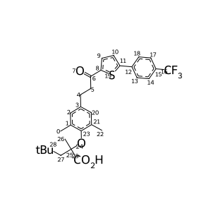 Cc1cc(CCC(=O)c2ccc(-c3ccc(C(F)(F)F)cc3)s2)cc(C)c1OC(C)(CC(C)(C)C)C(=O)O